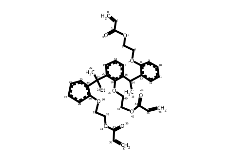 C=CC(=O)OCCOc1ccccc1C(C)c1cccc(C(C)(CC)c2ccccc2OCCOC(=O)C=C)c1OCCOC(=O)C=C